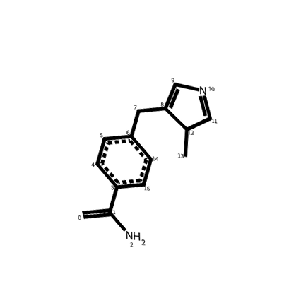 C=C(N)c1ccc(CC2=CN=CC2C)cc1